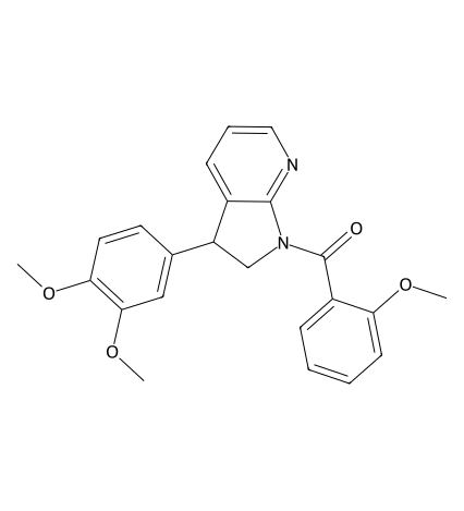 COc1ccc(C2CN(C(=O)c3ccccc3OC)c3ncccc32)cc1OC